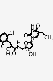 CCc1cn([C@H]2C[C@H](O)[C@@H](CNC(=O)C(C)Cc3c(Cl)cccc3Cl)O2)c(=O)[nH]c1=O